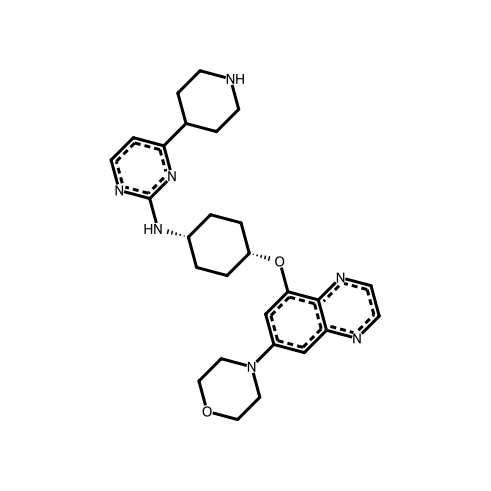 c1cc(C2CCNCC2)nc(N[C@H]2CC[C@@H](Oc3cc(N4CCOCC4)cc4nccnc34)CC2)n1